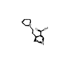 O=C(O)c1cnccc1CCN1CCCC1